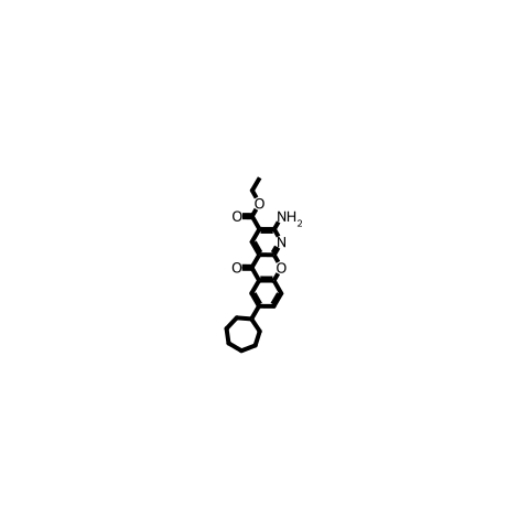 CCOC(=O)c1cc2c(=O)c3cc(C4CCCCCC4)ccc3oc2nc1N